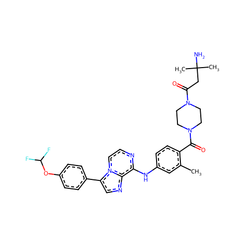 Cc1cc(Nc2nccn3c(-c4ccc(OC(F)F)cc4)cnc23)ccc1C(=O)N1CCN(C(=O)CC(C)(C)N)CC1